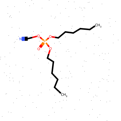 CCCCCCOP(=O)(OC#N)OCCCCCC